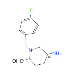 N[C@H]1CCC(C=O)N(Cc2ccc(F)cc2)C1